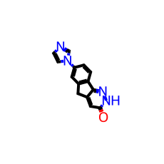 O=c1cc2c(n[nH]1)-c1ccc(-n3ccnc3)cc1C2